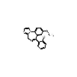 CSc1ccc2c(c1)C(c1ccccc1Cl)=NCc1nccn1-2